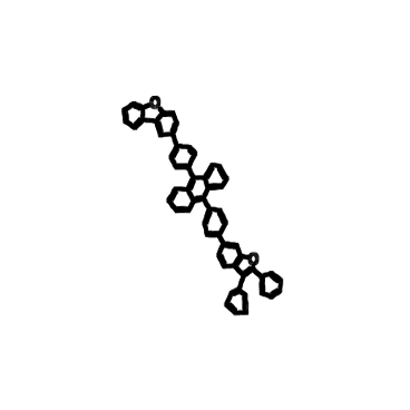 c1ccc(-c2oc3cc(-c4ccc(-c5c6ccccc6c(-c6ccc(-c7ccc8oc9ccccc9c8c7)cc6)c6ccccc56)cc4)ccc3c2-c2ccccc2)cc1